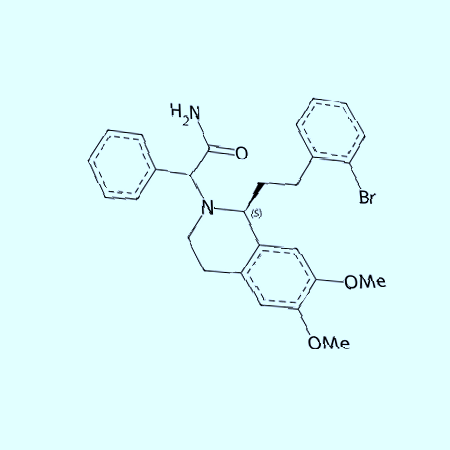 COc1cc2c(cc1OC)[C@H](CCc1ccccc1Br)N(C(C(N)=O)c1ccccc1)CC2